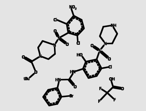 CC(C)(C)OC(=O)N1CCN(S(=O)(=O)c2c(Cl)ccc([N+](=O)[O-])c2Cl)CC1.O=C(Nc1ccccc1Br)Nc1ccc(Cl)c(S(=O)(=O)N2CCNCC2)c1O.O=C(O)C(F)(F)F